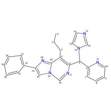 CCCc1c(C(c2ccccn2)n2ccnc2)ncn2cc(-c3ccccc3)nc12